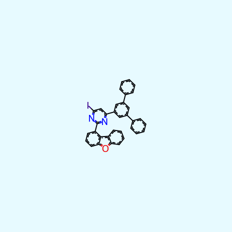 Ic1cc(-c2cc(-c3ccccc3)cc(-c3ccccc3)c2)nc(-c2cccc3oc4ccccc4c23)n1